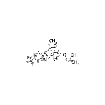 CCS(=O)(=O)c1cc(OCC(C)C)cnc1-c1cn2cnc(C(F)(F)F)cc2n1